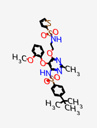 COc1ccccc1Oc1c(NS(=O)(=O)c2ccc(C(C)(C)C)cc2)nc(C)nc1OCCNS(=O)(=O)c1cccs1